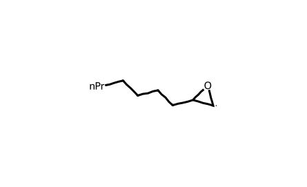 CCCCCCCC1[CH]O1